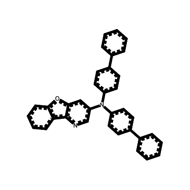 c1ccc(-c2ccc(N(c3ccc(-c4ccccc4)cc3)c3cnc4c(c3)oc3ccccc34)cc2)cc1